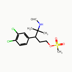 CC(C)(NC=O)C(CCOS(C)(=O)=O)c1ccc(Cl)c(Cl)c1